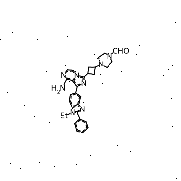 CCn1c(-c2ccccc2)nc2cc(-c3nc(C4CC(N5CCN(C=O)CC5)C4)n4ccnc(N)c34)ccc21